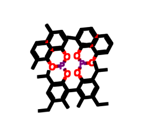 CCc1cc(C(C)C)c(OP(Oc2ccc(C)cc2)Oc2ccccc2C)c(-c2c(C)c(CC)cc(C(C)C)c2OP(Oc2ccccc2C)Oc2ccccc2C)c1C